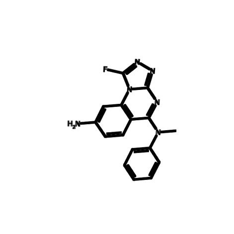 CN(c1ccccc1)c1nc2nnc(F)n2c2cc(N)ccc12